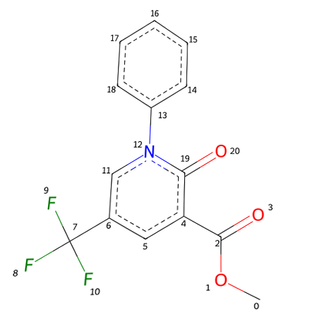 COC(=O)c1cc(C(F)(F)F)cn(-c2ccccc2)c1=O